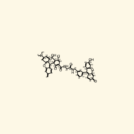 C=c1ccc2c(c1)Oc1cc(N(C)C)ccc1C=2c1c(Cl)c(C(=O)NCC(=O)NCc2cccc(-c3c4ccc(=O)cc-4oc4cc(O)ccc34)c2)cc(Cl)c1C(=O)O